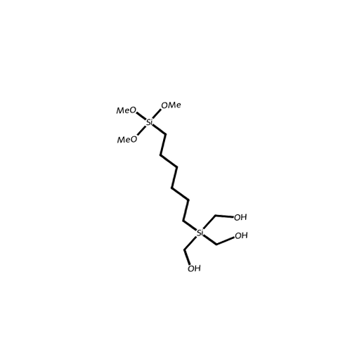 CO[Si](CCCCCC[Si](CO)(CO)CO)(OC)OC